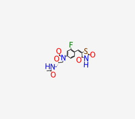 CC(=O)NC[C@H]1CN(c2ccc(C=C3SC(=O)NC3=O)c(F)c2)C(=O)O1